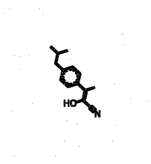 C/C(=C(/O)C#N)c1ccc(CC(C)C)cc1